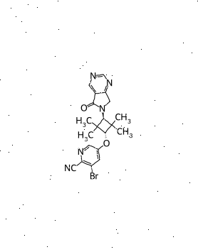 CC1(C)[C@H](Oc2cnc(C#N)c(Br)c2)C(C)(C)[C@H]1N1Cc2ncncc2C1=O